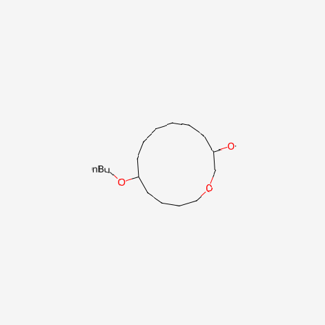 [CH2]CCCOC1CCCCCCC([O])COCCCC1